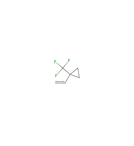 C=CC1(C(F)(F)F)CC1